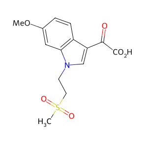 COc1ccc2c(C(=O)C(=O)O)cn(CCS(C)(=O)=O)c2c1